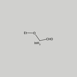 CCOCC=O.[InH3]